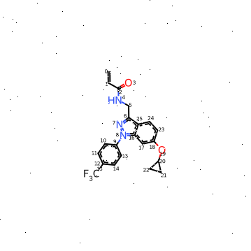 C=CC(=O)NCc1nn(-c2ccc(C(F)(F)F)cc2)c2cc(OC3CC3)ccc12